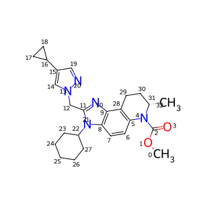 COC(=O)N1c2ccc3c(nc(Cn4cc(C5CC5)cn4)n3C3CCCCC3)c2CC[C@@H]1C